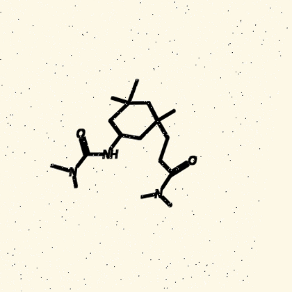 CN(C)C(=O)CCC1(C)CC(NC(=O)N(C)C)CC(C)(C)C1